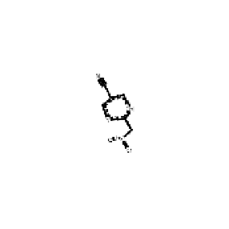 N#Cc1cnc(C[SH](=O)=O)nc1